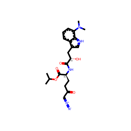 CC(C)OC(=O)[C@H](CCC(=O)C=[N+]=[N-])NC(=O)[C@@H](O)Cc1c[nH]c2c(N(C)C)cccc12